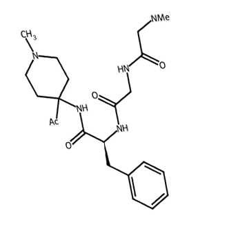 CNCC(=O)NCC(=O)N[C@@H](Cc1ccccc1)C(=O)NC1(C(C)=O)CCN(C)CC1